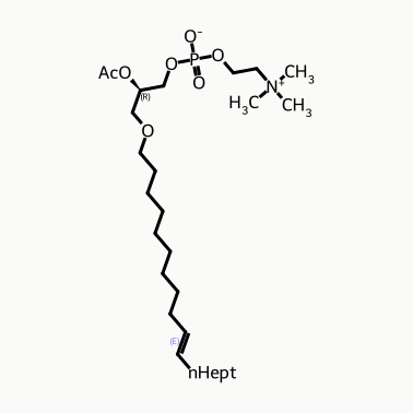 CCCCCCC/C=C/CCCCCCCCCOC[C@H](COP(=O)([O-])OCC[N+](C)(C)C)OC(C)=O